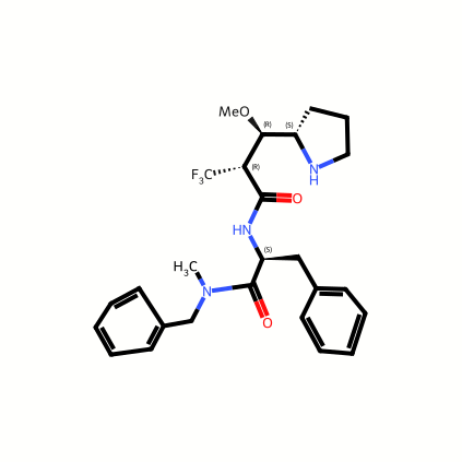 CO[C@@H]([C@@H]1CCCN1)[C@H](C(=O)N[C@@H](Cc1ccccc1)C(=O)N(C)Cc1ccccc1)C(F)(F)F